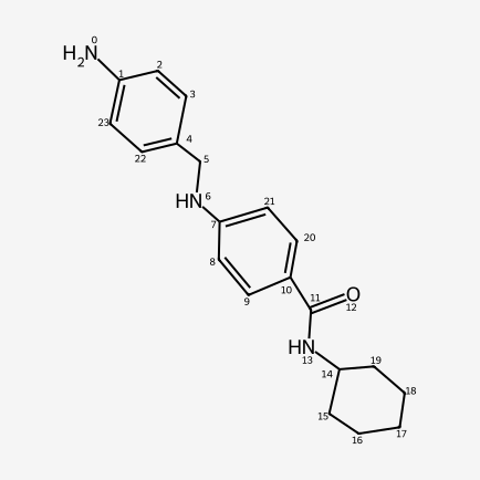 Nc1ccc(CNc2ccc(C(=O)NC3CCCCC3)cc2)cc1